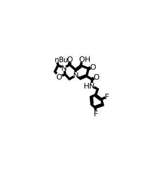 CCCCC1COC2Cn3cc(C(=O)NCc4ccc(F)cc4F)c(=O)c(O)c3C(=O)N12